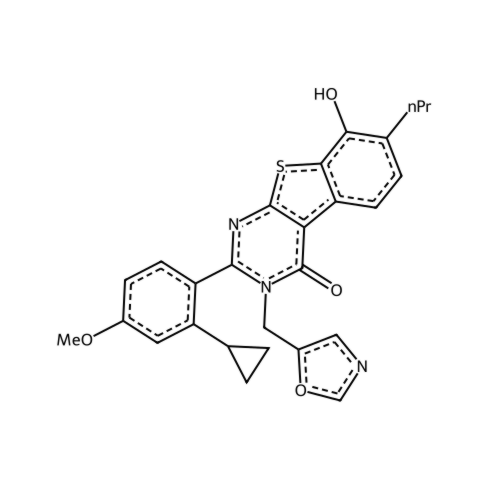 CCCc1ccc2c(sc3nc(-c4ccc(OC)cc4C4CC4)n(Cc4cnco4)c(=O)c32)c1O